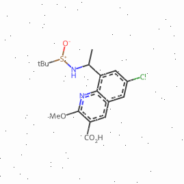 COc1nc2c(C(C)N[S+]([O-])C(C)(C)C)cc(Cl)cc2cc1C(=O)O